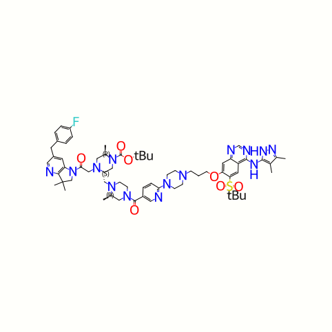 Cc1n[nH]c(Nc2ncnc3cc(OCCCN4CCN(c5ccc(C(=O)N6CCN(C[C@H]7CN(C(=O)OC(C)(C)C)[C@H](C)CN7CC(=O)N7CC(C)(C)c8ncc(Cc9ccc(F)cc9)cc87)[C@H](C)C6)cn5)CC4)c(S(=O)(=O)C(C)(C)C)cc23)c1C